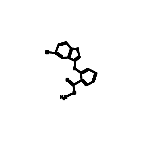 COC(=O)c1ccccc1Sc1csc2ccc(Cl)cc12